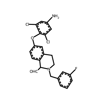 Nc1cc(Cl)c(Oc2ccc3c(c2)CCN(Cc2cccc(F)c2)C3C=O)c(Cl)c1